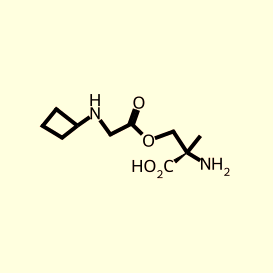 C[C@](N)(COC(=O)CNC1CCC1)C(=O)O